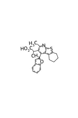 Cc1nc2sc3c(c2c(-c2cc4ccccc4o2)c1C(C)C(=O)O)CCCC3